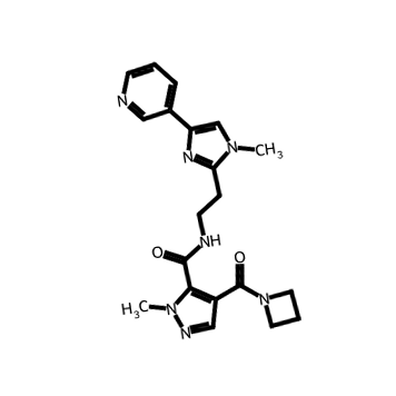 Cn1cc(-c2cccnc2)nc1CCNC(=O)c1c(C(=O)N2CCC2)cnn1C